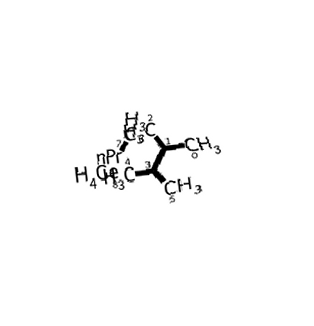 CC(C)C(C)C.CCCC.[GeH4]